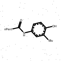 CCCCCC(=O)Nc1ccc(O)c(C(C)(C)C)c1